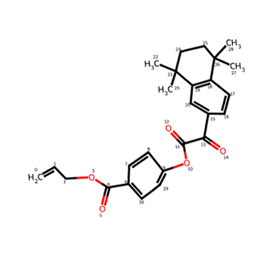 C=CCOC(=O)c1ccc(OC(=O)C(=O)c2ccc3c(c2)C(C)(C)CCC3(C)C)cc1